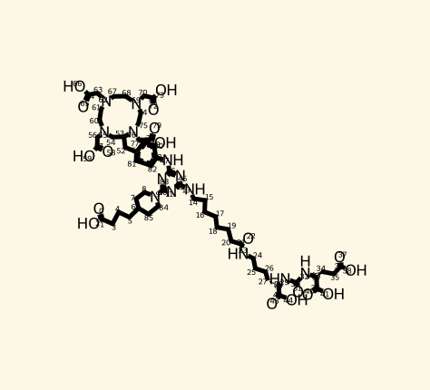 O=C(O)CCCC1CCN(c2nc(NCCCCCCCC(=O)NCCCC[C@H](NC(=O)N[C@@H](CCC(=O)O)C(=O)O)C(=O)O)nc(Nc3ccc(CC4CN(CC(=O)O)CCN(CC(=O)O)CCN(CC(=O)O)CCN4CC(=O)O)cc3)n2)CC1